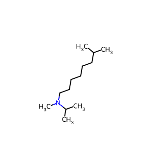 CC(C)CCCCCCN(C)C(C)C